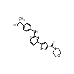 CC(O)c1ccc(Nc2nccc(-c3cc(C(=O)N4CCOCC4)cs3)n2)cc1